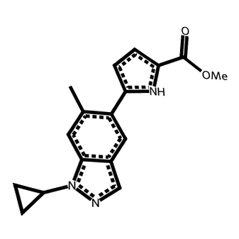 COC(=O)c1ccc(-c2cc3cnn(C4CC4)c3cc2C)[nH]1